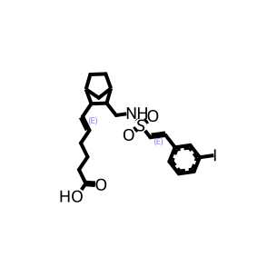 O=C(O)CCC/C=C/C1C2CCC(C2)C1CNS(=O)(=O)/C=C/c1cccc(I)c1